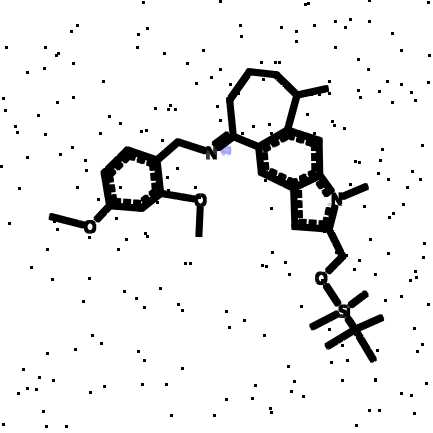 COc1ccc(C/N=C2\CCCC(C)c3cc4c(cc32)cc(CO[Si](C)(C)C(C)(C)C)n4C)c(OC)c1